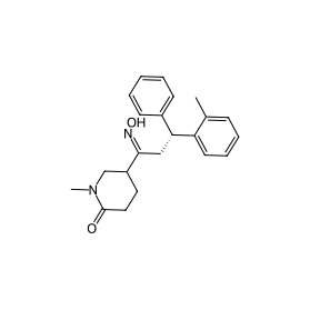 Cc1ccccc1[C@H](C/C(=N\O)C1CCC(=O)N(C)C1)c1ccccc1